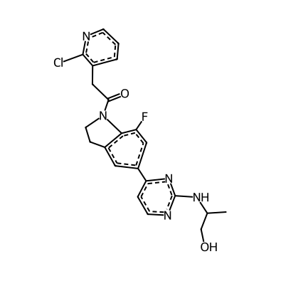 CC(CO)Nc1nccc(-c2cc(F)c3c(c2)CCN3C(=O)Cc2cccnc2Cl)n1